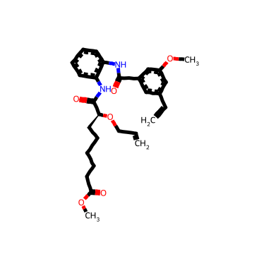 C=CCO[C@@H](CCCCCC(=O)OC)C(=O)Nc1ccccc1NC(=O)c1cc(C=C)cc(OC)c1